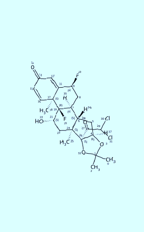 CC1(C)O[C@@H]2C[C@H]3[C@@H]4C[C@H](F)C5=CC(=O)C=C[C@]5(C)[C@@]4(F)[C@@H](O)C[C@]3(C)[C@]2(C(=O)C(Cl)Cl)O1